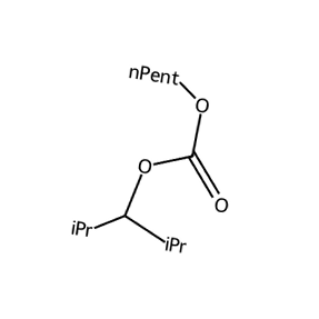 CCCCCOC(=O)OC(C(C)C)C(C)C